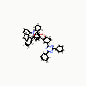 c1ccc(-c2nc(-c3ccccc3)nc(-c3ccc4oc5ccc(-c6cccc7c6-c6c(cccc6-n6c8ccccc8c8ccccc86)C7)cc5c4c3)n2)cc1